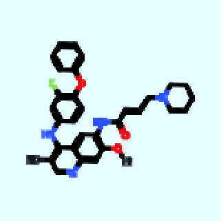 CCOc1cc2ncc(C#N)c(Nc3ccc(Oc4ccccc4)c(F)c3)c2cc1NC(=O)C=CCN1CCCCC1